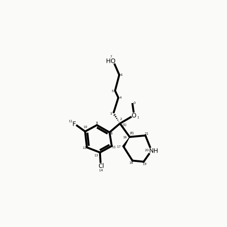 CO[C@](CCCCO)(c1cc(F)cc(Cl)c1)[C@@H]1CCCNC1